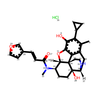 Cc1c2c3c(c(O)c1C1CC1)O[C@H]1[C@H](N(C)C(=O)/C=C/c4ccoc4)CC[C@@]4(O)[C@@H](C2)NCC[C@]314.Cl